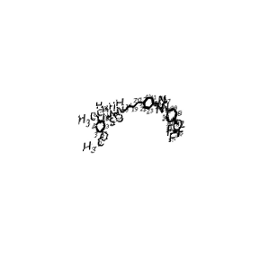 COc1ccc(C(C)C)c(NC(=S)NC(=O)NCCCCc2ccc(-c3ncn(-c4ccc(OC(F)(F)F)cc4)n3)cc2)c1